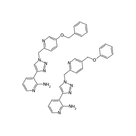 Nc1ncccc1-c1cn(Cc2ccc(COc3ccccc3)cn2)nn1.Nc1ncccc1-c1cn(Cc2ccc(OCc3ccccc3)cn2)nn1